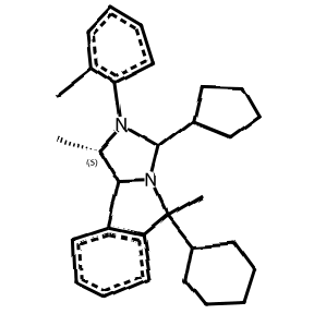 Cc1ccccc1N1C(C2CCCC2)N2C(c3ccccc3C2(C)C2CCCCC2)[C@@H]1C